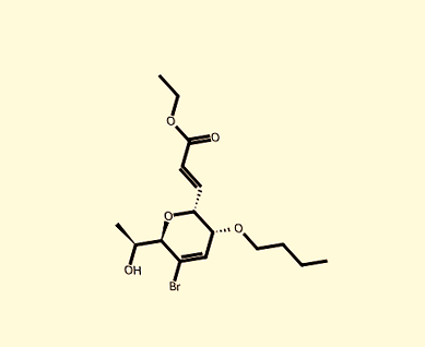 CCCCO[C@@H]1C=C(Br)[C@@H]([C@H](C)O)O[C@@H]1/C=C/C(=O)OCC